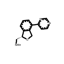 CNC[C@H]1OCc2c(-c3ccncn3)cccc21